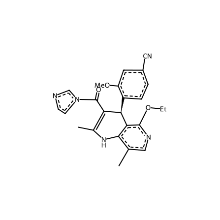 CCOc1ncc(C)c2c1[C@H](c1ccc(C#N)cc1OC)C(C(=O)n1ccnc1)=C(C)N2